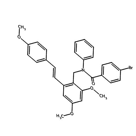 COc1ccc(C=Cc2cc(OC)cc(OC)c2CN(C(=O)c2ccc(Br)cc2)c2ccccc2)cc1